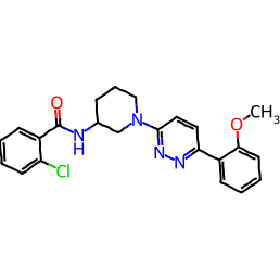 COc1ccccc1-c1ccc(N2CCCC(NC(=O)c3ccccc3Cl)C2)nn1